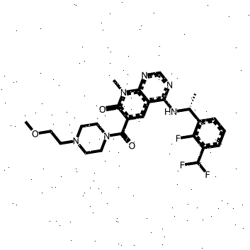 COCCN1CCN(C(=O)c2cc3c(N[C@H](C)c4cccc(C(F)F)c4F)ncnc3n(C)c2=O)CC1